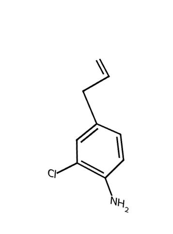 C=CCc1ccc(N)c(Cl)c1